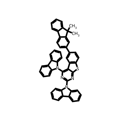 CC1(C)c2ccccc2-c2ccc(-c3ccc4sc5nc(-n6c7ccccc7c7ccccc76)nc(-n6c7ccccc7c7ccccc76)c5c4c3)cc21